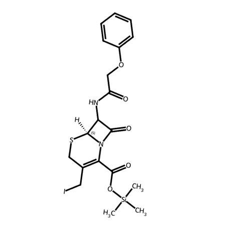 C[Si](C)(C)OC(=O)C1=C(CI)CS[C@H]2C(NC(=O)COc3ccccc3)C(=O)N12